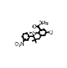 COC(=O)c1cc(Cl)cc2c1NC(c1cccc([N+](=O)[O-])c1)C(C)(C)C2